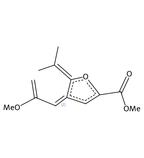 C=C(/C=c1/cc(C(=O)OC)oc1=C(C)C)OC